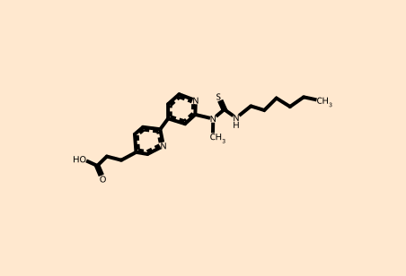 CCCCCCNC(=S)N(C)c1cc(-c2ccc(CCC(=O)O)cn2)ccn1